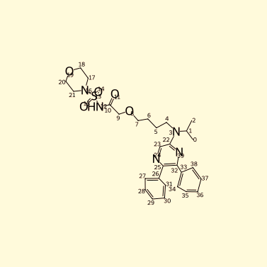 CC(C)N(CCCCOCC(=O)NS(=O)(=O)N1CCOCC1)c1cnc(-c2ccccc2)c(-c2ccccc2)n1